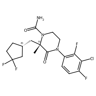 C[C@]1(C[C@H]2CCC(F)(F)C2)C(=O)N(c2ccc(F)c(Cl)c2F)CCN1C(N)=O